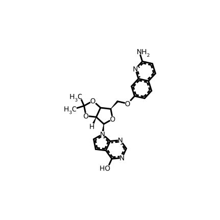 CC1(C)OC2[C@@H](O1)[C@H](n1ccc3c(O)ncnc31)O[C@@H]2COc1ccc2ccc(N)nc2c1